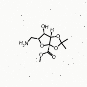 COC(=O)[C@@]12OC(CN)[C@@H](O)[C@@H]1OC(C)(C)O2